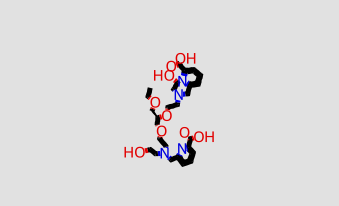 CCOC[C@H](COCCN(CCO)Cc1cccc(C(=O)O)n1)OCCN(CCO)Cc1cccc(C(=O)O)n1